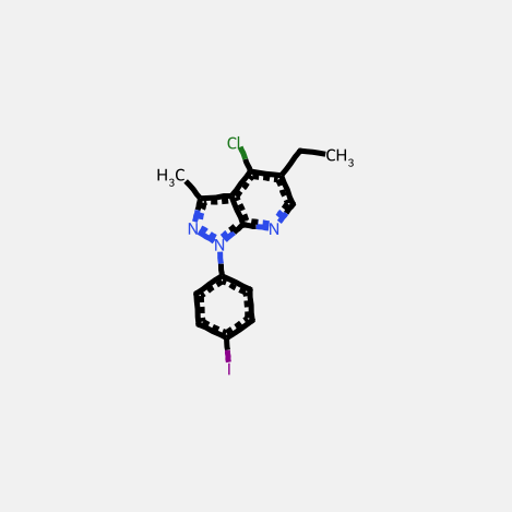 CCc1cnc2c(c(C)nn2-c2ccc(I)cc2)c1Cl